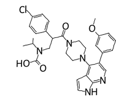 COc1cccc(-c2cnc3[nH]ccc3c2N2CCN(C(=O)C(CN(C(=O)O)C(C)C)c3ccc(Cl)cc3)CC2)c1